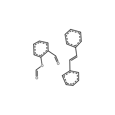 C(=Cc1ccccc1)c1ccccc1.O=COc1ccccc1C=O